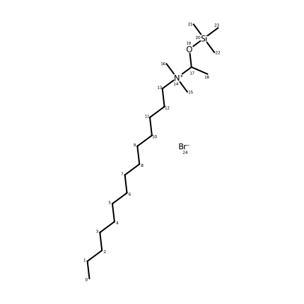 CCCCCCCCCCCCCC[N+](C)(C)C(C)O[Si](C)(C)C.[Br-]